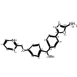 CC(C)(C)C(c1ccc(OCc2ncccn2)cc1)c1ccc(-c2nnc(N)o2)cc1